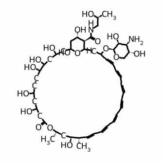 C[C@H](O)CNC(=O)[C@H]1[C@@H]2CC(O[C@@H]3OC[C@@H](O)[C@H](N)[C@@H]3O)/C=C/C=C/C=C/C=C/C=C/C=C/C=C/[C@H](C)[C@@H](O)C[C@H](C)OC(=O)CC(O)CC(O)CCC(O)C(O)CC(O)CC(O)(C[C@@H]1O)O2